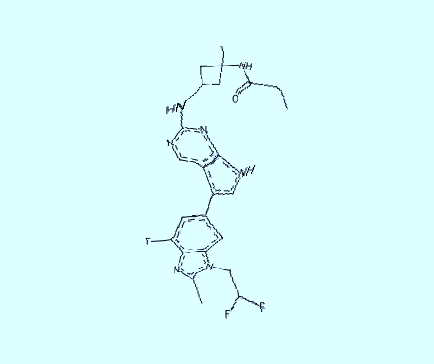 CCC(=O)NC1(C)CC(Nc2ncc3c(-c4cc(F)c5nc(C)n(CC(F)F)c5c4)c[nH]c3n2)C1